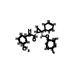 Cc1ncc(OC[C@@]2(C3C=CC=CC3)C[C@H]2C(=O)Nc2cccc(C(F)(F)F)c2)c(C)n1